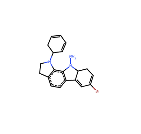 NN1c2c(ccc3c2N(C2C=CC=CC2)CC3)C2=CC(Br)=CCC21